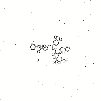 CC(C(Cc1ccc(C(=O)Nc2ccccc2)o1)c1ccc2c(c1)OCO2)N(C/C=C/c1ccsc1)C(=O)C(O)=C(CC(=O)O)C(=O)OC(C)(C)C